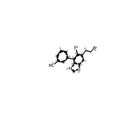 N#Cc1cccc(-c2c(F)c(CCBr)cc3scnc23)c1